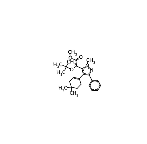 COC(=O)C(OC(C)(C)C)c1c(C2=CCC(C)(C)CC2)c(-c2ccccc2)nn1C